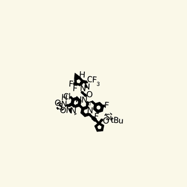 Cn1nc(NS(C)(=O)=O)c2c(Cl)ccc(-c3ccc(C#CC4(CO[Si](C)(C)C(C)(C)C)CCCC4)nc3[C@H](Cc3cc(F)cc(F)c3)NC(=O)Cn3nc(C(F)(F)F)c4c3C(F)(F)C3C[C@H]43)c21